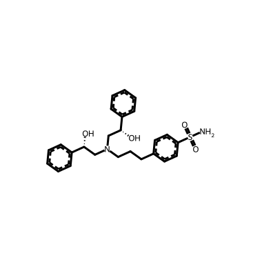 NS(=O)(=O)c1ccc(CCCN(C[C@@H](O)c2ccccc2)C[C@@H](O)c2ccccc2)cc1